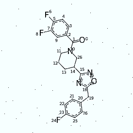 O=C(c1ccc(F)c(F)c1)N1CCCC(c2noc(Cc3ccc(F)cc3)n2)C1